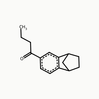 CCCC(=O)c1ccc2c(c1)C1CCC2C1